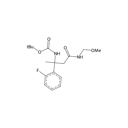 COCNC(=O)CC(C)(NC(=O)OC(C)(C)C)c1ccccc1F